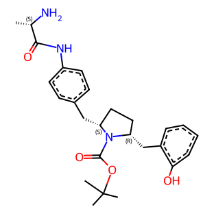 C[C@H](N)C(=O)Nc1ccc(C[C@@H]2CC[C@H](Cc3ccccc3O)N2C(=O)OC(C)(C)C)cc1